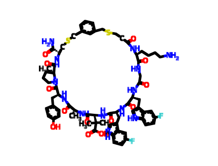 C[C@H]1NC(=O)[C@H](C(C)(C)C(=O)O)NC(=O)[C@H](Cc2c[nH]c3ccc(F)cc23)NC(=O)[C@H](Cc2c[nH]c3ccc(F)cc23)NC(=O)CNC(=O)[C@H](CCCCN)NC(=O)CCSCc2cccc(c2)CSC[C@@H](C(N)=O)NC(=O)[C@]2(C)CCCN2C(=O)[C@H](Cc2ccc(O)cc2)NC1=O